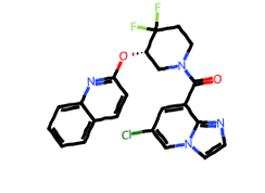 Cl.O=C(c1cc(Cl)cn2ccnc12)N1CCC(F)(F)[C@@H](Oc2ccc3ccccc3n2)C1